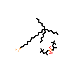 CC(CC(C)(C)C)CP(=O)(O)CC(C)CC(C)(C)C.CCCCCCC(CCCCCC)(CCCCCC)CCCCCCCCCCCCCP